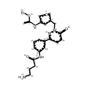 C=C(Nc1cccc(Cn2nc(-c3cccc(NC(=O)CCCN)c3)ccc2=O)c1)OCC